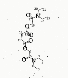 CCN(CC)C(=O)COC(=O)/C=C\C(=O)OCC(=O)N(CC)CC